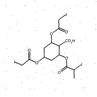 CC(I)C(=O)OC1CC(OC(=O)CI)CC(OC(=O)CI)C1C(=O)O